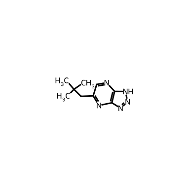 CC(C)(C)Cc1cnc2[nH]nnc2n1